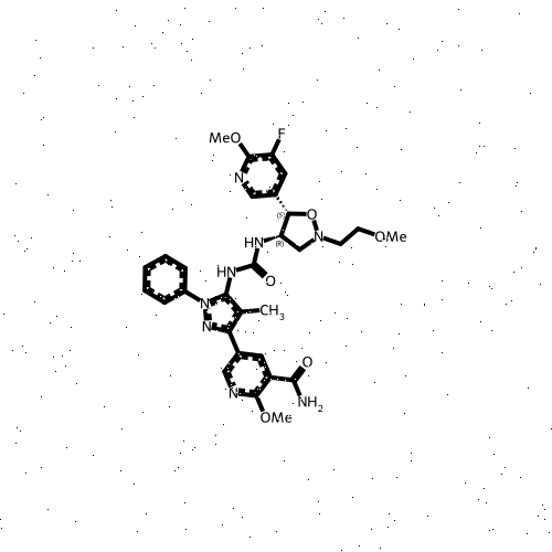 COCCN1C[C@@H](NC(=O)Nc2c(C)c(-c3cnc(OC)c(C(N)=O)c3)nn2-c2ccccc2)[C@H](c2cnc(OC)c(F)c2)O1